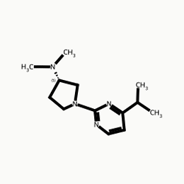 CC(C)c1ccnc(N2CC[C@H](N(C)C)C2)n1